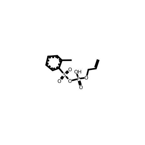 C=CCOP(=O)(O)OS(=O)(=O)c1ccccc1C